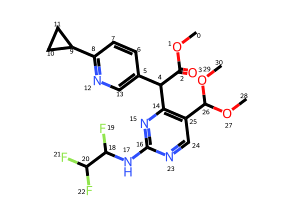 COC(=O)C(c1ccc(C2CC2)nc1)c1nc(NC(F)C(F)F)ncc1C(OC)OC